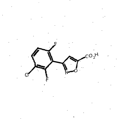 O=C(O)c1cc(-c2c(F)ccc(Cl)c2F)no1